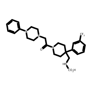 O=C(O)NCC1(c2cccc(C(F)(F)F)c2)CCN(C(=O)CN2CCN(c3ccccc3)CC2)CC1